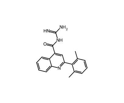 Cc1cccc(C)c1-c1cc(C(=O)NC(=N)N)c2ccccc2n1